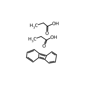 CCC(=O)O.CCC(=O)O.c1ccc2c(c1)=c1ccccc1=2